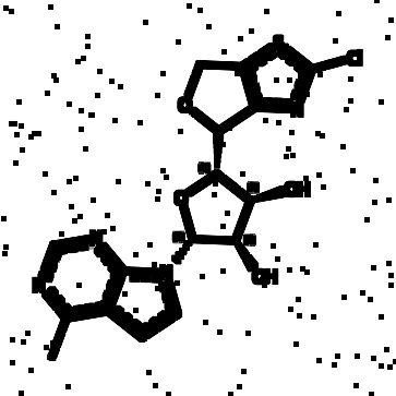 Cc1ncnc2c1ccn2[C@@H]1O[C@H](C2OCc3sc(Cl)nc32)[C@@H](O)[C@H]1O